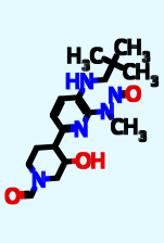 CN(N=O)c1nc(C2CCN(C=O)CC2O)ccc1NCC(C)(C)C